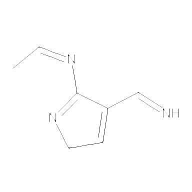 C/C=N\C1=NCC=C1C=N